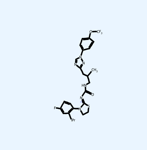 CC(CNC(=O)/N=C1\SCCN1c1ccc(F)cc1C(C)C)Cc1ncn(-c2ccc(OC(F)(F)F)cc2)n1